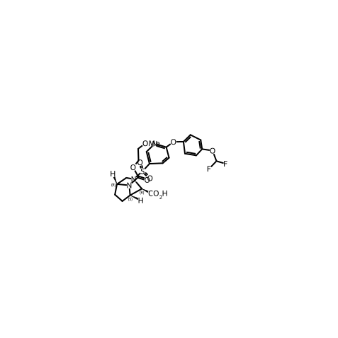 COCCOC(=O)N1[C@@H]2CC[C@H]1[C@H](C(=O)O)N(S(=O)(=O)c1ccc(Oc3ccc(OC(F)F)cc3)nc1)C2